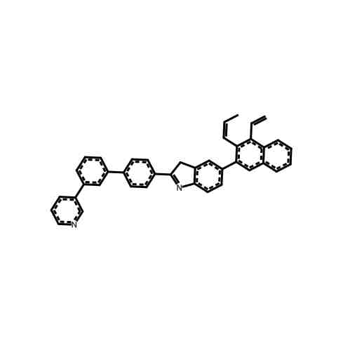 C=Cc1c(/C=C\C)c(-c2ccc3c(c2)CC(c2ccc(-c4cccc(-c5cccnc5)c4)cc2)=N3)cc2ccccc12